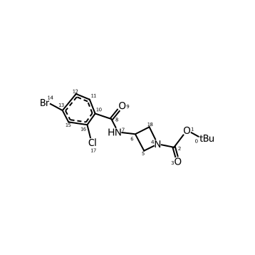 CC(C)(C)OC(=O)N1CC(NC(=O)c2ccc(Br)cc2Cl)C1